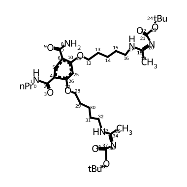 CCCNC(=O)c1cc(C(N)=O)c(OCCCCCN/C(C)=N\C(=O)OC(C)(C)C)cc1OCCCCCN/C(C)=N\C(=O)OC(C)(C)C